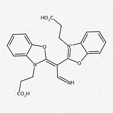 N=C/C(=C1/Oc2ccccc2N1CCC(=O)O)c1oc2ccccc2[n+]1CCC(=O)O